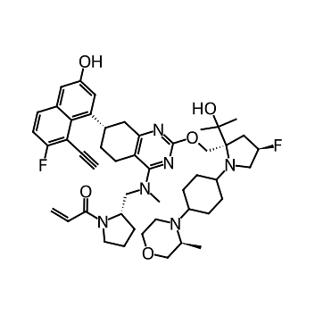 C#Cc1c(F)ccc2cc(O)cc([C@H]3CCc4c(nc(OC[C@]5(C(C)(C)O)C[C@@H](F)CN5C5CCC(N6CCOC[C@@H]6C)CC5)nc4N(C)C[C@@H]4CCCN4C(=O)C=C)C3)c12